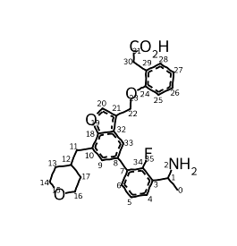 CC(N)c1cccc(-c2cc(CC3CCOCC3)c3occ(COc4ccccc4CC(=O)O)c3c2)c1F